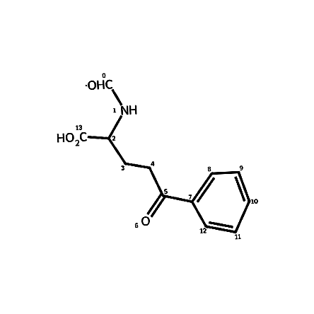 O=[C]NC(CCC(=O)c1ccccc1)C(=O)O